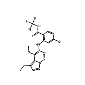 [2H]C([2H])([2H])NC(=O)c1cnc(Cl)cc1Nc1ncn2ncc(CC)c2c1OC